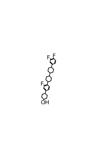 OC1CCC(c2ccc(C3CCC(C4CCC(c5ccc(F)c(F)c5)CC4)CC3)c(F)c2)CC1